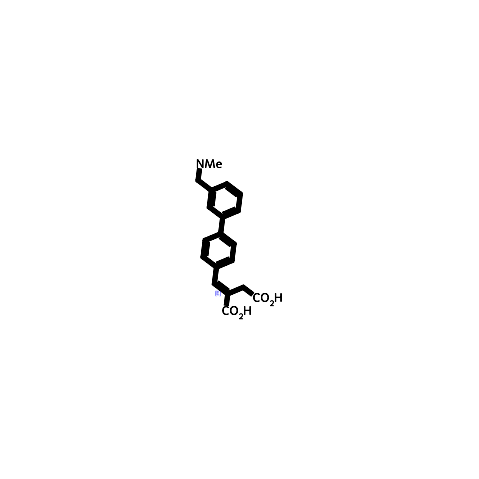 CNCc1cccc(-c2ccc(/C=C(\CC(=O)O)C(=O)O)cc2)c1